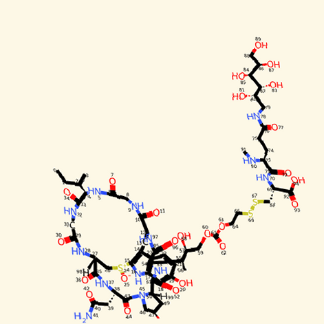 CCC(C)[C@H]1NC(=O)CNC(=O)C2Cc3c([nH]c4cc(O)ccc34)[S+]([O-])C[C@@H](NC(=O)CNC1=O)C(=O)N[C@@H](CC(N)=O)C(=O)N1C[C@H](O)C[C@H]1C(=O)N[C@@H]([C@H](C)[C@@H](O)COC(=O)OCCSSC[C@H](NC(=O)[C@H](CCC(=O)NC[C@H](O)[C@@H](O)[C@H](O)[C@H](O)CO)NC)C(=O)O)C(=O)N2